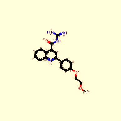 CCCOCCOc1ccc(-c2cc(C(=O)NC(=N)N)c3ccccc3n2)cc1